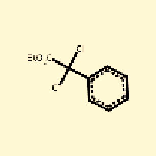 CCOC(=O)C(Cl)(Cl)c1ccccc1